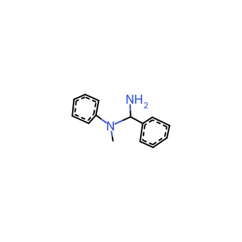 CN(c1ccccc1)C(N)c1ccccc1